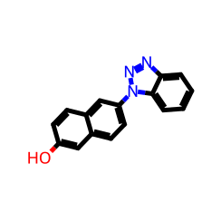 Oc1ccc2cc(-n3nnc4ccccc43)ccc2c1